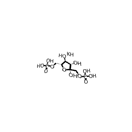 O=P(O)(O)OC[C@H]1O[C@](O)(COP(=O)(O)O)[C@@H](O)[C@@H]1O.[KH]